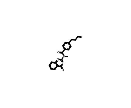 CCCCc1ccc(C(=O)N(C)c2nc3ccccc3c(=O)o2)cc1